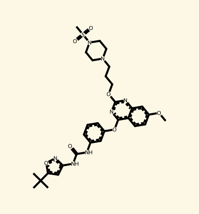 COc1ccc2c(Oc3cccc(NC(=O)Nc4cc(C(C)(C)C)on4)c3)nc(OCCCN3CCN(S(C)(=O)=O)CC3)nc2c1